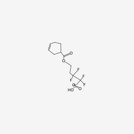 O=C(OCCC(F)(F)C(F)(F)S(=O)(=O)O)C1CC=CCC1